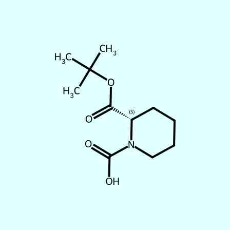 CC(C)(C)OC(=O)[C@@H]1CCCCN1C(=O)O